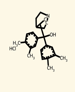 Cc1ccc(C(O)(c2ccc(C)c(C)c2)C2CN3CCC2CC3)cc1C.Cl